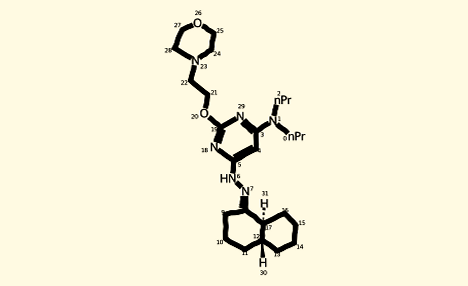 CCCN(CCC)c1cc(N/N=C2\CCC[C@H]3CCCC[C@H]23)nc(OCCN2CCOCC2)n1